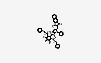 Cn1c(-c2c(C(=O)OCc3ccccc3)c(F)c(F)c(F)c2C(=O)OCc2ccccc2)nc2c1cc(C=C1C(=O)c3cc4ccccc4cc3C1=O)n2-c1ccccc1